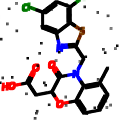 Cc1cccc2c1N(Cc1nc3cc(Cl)cc(Cl)c3s1)C(=O)C(CC(=O)O)O2